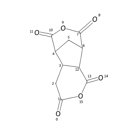 O=C1CC2C3CC(C(=O)OC3=O)C2C(=O)O1